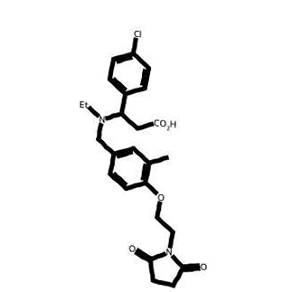 CCN(Cc1ccc(OCCN2C(=O)CCC2=O)c(C)c1)C(CC(=O)O)c1ccc(Cl)cc1